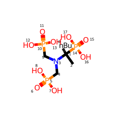 CCCCC(C)(N(CP(=O)(O)O)CP(=O)(O)O)P(=O)(O)O